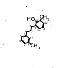 Cc1cccc(CCCc2cccc(C)c2O)c1